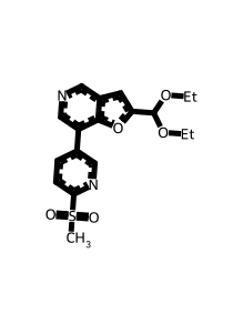 CCOC(OCC)c1cc2cncc(-c3ccc(S(C)(=O)=O)nc3)c2o1